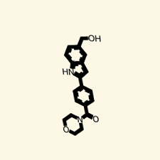 O=C(c1ccc(-c2cc3cc(CO)ccc3[nH]2)cc1)N1CCOCC1